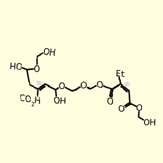 CC/C(=C/C(=O)OCO)C(=O)OCOCOC(O)/C=C(/CC(O)OCO)C(=O)O